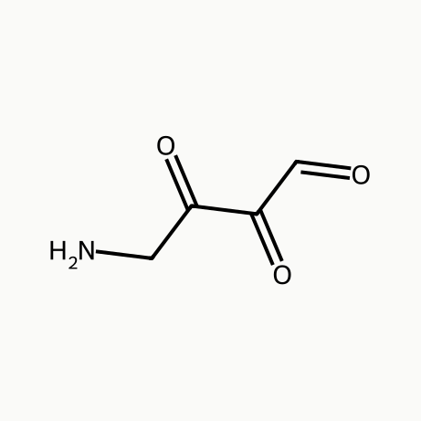 NCC(=O)C(=O)C=O